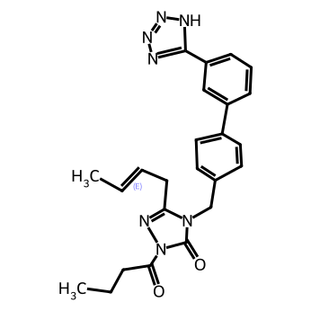 C/C=C/Cc1nn(C(=O)CCC)c(=O)n1Cc1ccc(-c2cccc(-c3nnn[nH]3)c2)cc1